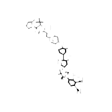 CC1CCCN1C(=O)C(NC(=O)CCN1CCC(Oc2ccc(-c3ncc(N4C(=S)N(c5ccc(C#N)c(C(F)(F)F)c5F)C(=O)C4(C)C)cc3F)cc2F)CC1)C(C)(C)C